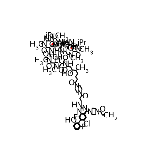 C=CC(=O)N1CCN(c2nc(NCCC(=O)N3CCN(C(=O)CCC[C@@H](C)[C@@H](O)CC(=O)N[C@@H](CC)C(=O)N(C)CC(=O)N(C)[C@@H](C)C(=O)N[C@H](C(=O)N(C)[C@@H](CC(C)C)C(=O)N[C@@H](C)C(=O)N[C@H](C)C(=O)N(C)[C@@H](CC(C)C)C(=O)N(C)[C@@H](CC(C)C)C(=O)N(C)[C@H](C(=O)NC)C(C)C)C(C)C)CC3)nc3c(F)c(-c4c(O)cccc4F)c(Cl)cc23)CC1